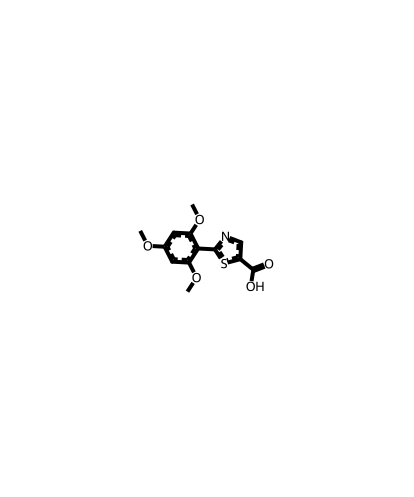 COc1cc(OC)c(-c2ncc(C(=O)O)s2)c(OC)c1